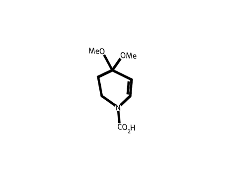 COC1(OC)C=CN(C(=O)O)CC1